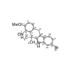 COc1ccc2c(c1N=O)C(C)(C)c1[nH]c3cc(Br)ccc3c1C2